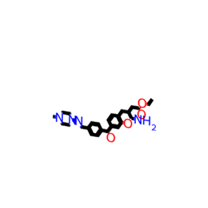 CCOC(=O)CC1Cc2ccc(C(=O)c3ccc(C=NN4CCN(C)CC4)cc3)cc2OC1N